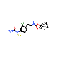 CC(C)(C)OC(=O)NCCc1ccc(N(S)C(N)=O)cc1Cl